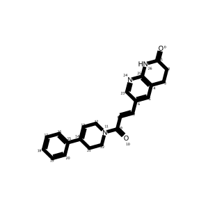 O=C1CCc2cc(C=CC(=O)N3CC=C(c4ccccc4)CC3)cnc2N1